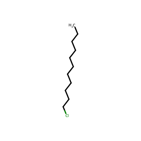 CCCCCCCCCCCCl